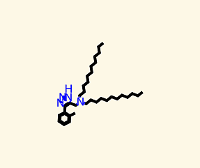 CCCCCCCCCCCCN(CCCCCCCCCCCC)Cc1[nH]nnc1-c1ccccc1C